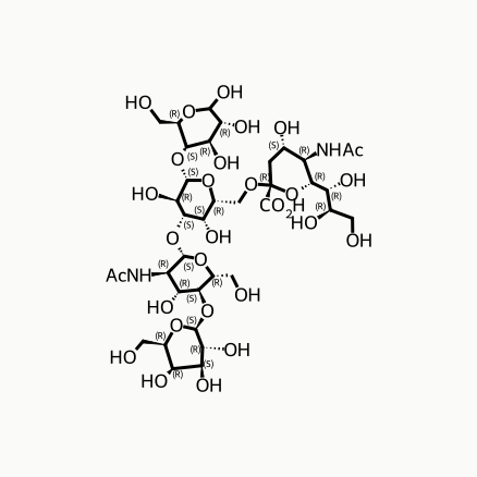 CC(=O)N[C@H]1[C@H](O[C@H]2[C@@H](O)[C@@H](CO[C@]3(C(=O)O)C[C@H](O)[C@@H](NC(C)=O)[C@H]([C@H](O)[C@H](O)CO)O3)O[C@@H](O[C@H]3[C@H](O)[C@@H](O)C(O)O[C@@H]3CO)[C@@H]2O)O[C@H](CO)[C@@H](O[C@@H]2O[C@H](CO)[C@H](O)[C@H](O)[C@H]2O)[C@@H]1O